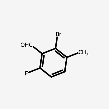 Cc1ccc(F)c(C=O)c1Br